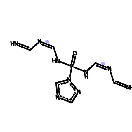 N=C/N=C\NP(=O)(N/C=N\C=N)n1cncn1